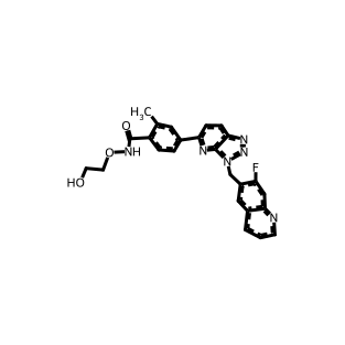 Cc1cc(-c2ccc3nnn(Cc4cc5cccnc5cc4F)c3n2)ccc1C(=O)NOCCO